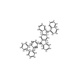 c1ccc2c(-n3c4ccccc4c4cc5c(cc43)c3ccccc3n5-c3cnc4c5ccccc5c5ccccc5c4n3)cccc2c1